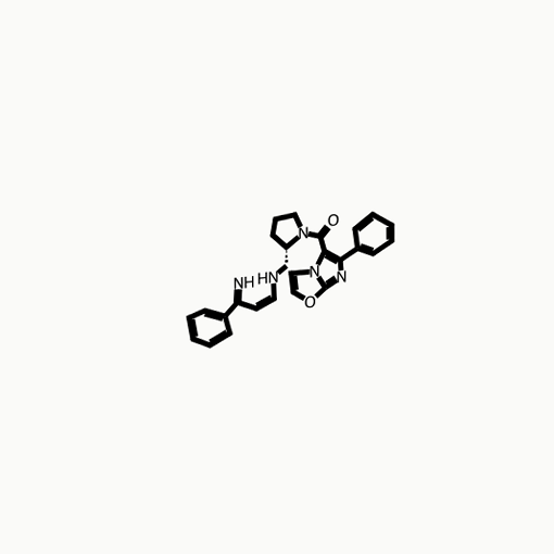 N=C(/C=C\NC[C@@H]1CCCN1C(=O)c1c(-c2ccccc2)nc2occn12)c1ccccc1